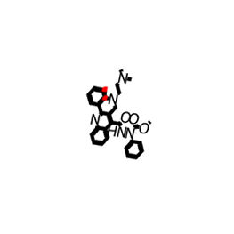 CCN(CCN(C)C)Cc1c(-c2ccccc2)nc2ccccc2c1C(=O)NN(C(=O)OC)c1ccccc1